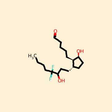 CCCCC(F)(F)C(O)CC[C@H]1CC[C@H](O)[C@@H]1CCCCC=O